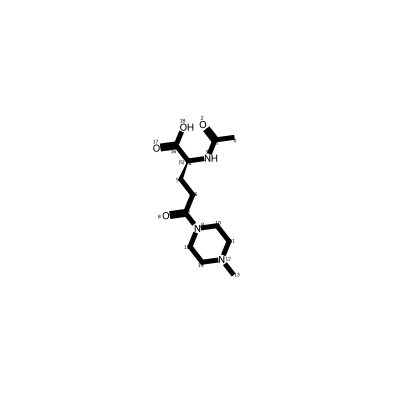 CC(=O)N[C@@H](CCC(=O)N1CCN(C)CC1)C(=O)O